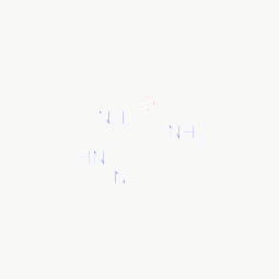 CCNc1[nH]ncc1C(N)=O